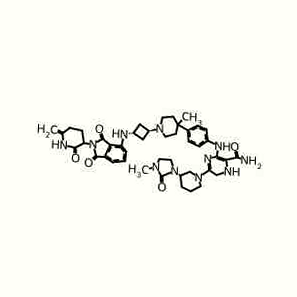 C=C1CCC(N2C(=O)c3cccc(N[C@H]4C[C@H](N5CCC(C)(c6ccc(NC7=C(C(N)=O)NCC(N8CCC[C@H](N9CCN(C)C9=O)C8)=N7)cc6)CC5)C4)c3C2=O)C(=O)N1